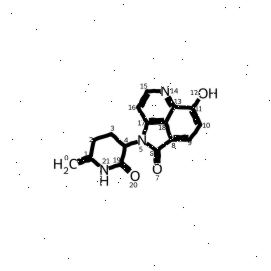 C=C1CCC(N2C(=O)c3ccc(O)c4nccc2c34)C(=O)N1